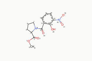 COC(=O)C1CCCN1C(=O)c1cccc([N+](=O)[O-])c1O